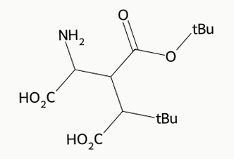 CC(C)(C)OC(=O)C(C(N)C(=O)O)C(C(=O)O)C(C)(C)C